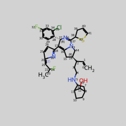 C=CC(CCNC1CC2CCC1C2O)[C@H]1CC2=C(C3=N/C(=C\C(C)F)C=C3)[C@H](c3ccc(F)cc3Cl)N=C(C3CC=CS3)N2C1